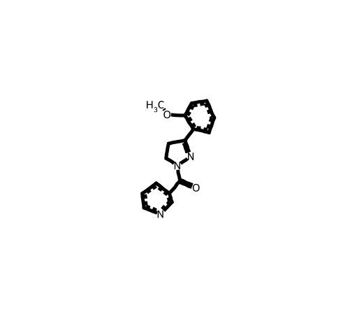 COc1ccccc1C1=NN(C(=O)c2cccnc2)CC1